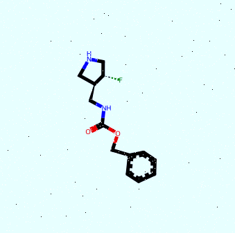 O=C(NC[C@H]1CNC[C@@H]1F)OCc1ccccc1